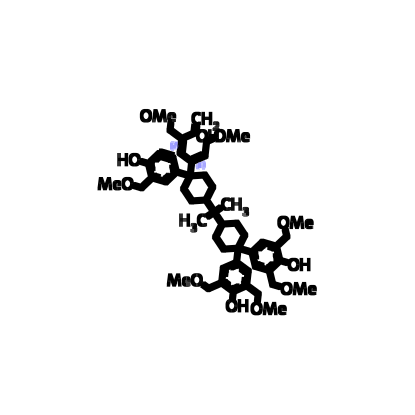 C=C(O)/C(=C\C(=C/COC)C1(c2c#cc(O)c(COC)c2)CCC(C(C)(C)C2CCC(c3cc(COC)c(O)c(COC)c3)(c3cc(COC)c(O)c(COC)c3)CC2)CC1)COC